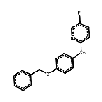 Fc1ccc(Nc2ccc(OCc3ccccc3)cc2)nc1